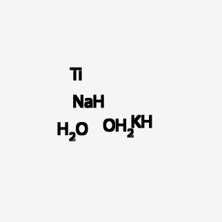 O.O.[KH].[NaH].[Ti]